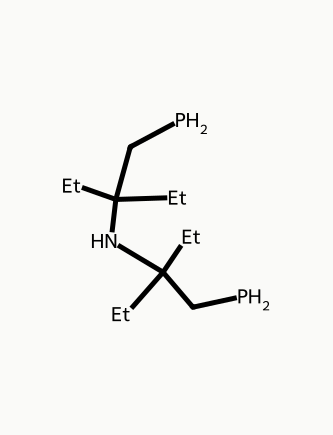 CCC(CC)(CP)NC(CC)(CC)CP